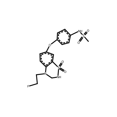 CS(=O)(=O)Nc1ccc(Oc2ccc3c(c2)S(=O)(=O)NCN3CCF)cc1